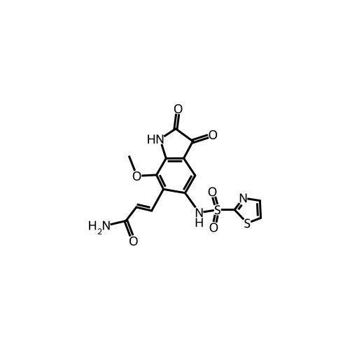 COc1c(C=CC(N)=O)c(NS(=O)(=O)c2nccs2)cc2c1NC(=O)C2=O